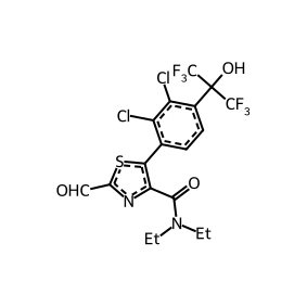 CCN(CC)C(=O)c1nc(C=O)sc1-c1ccc(C(O)(C(F)(F)F)C(F)(F)F)c(Cl)c1Cl